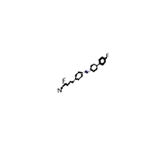 N#CC(F)=CCC[C@H]1CC[C@H](/C=C/[C@H]2CC[C@H](c3ccc(F)cc3)CC2)CC1